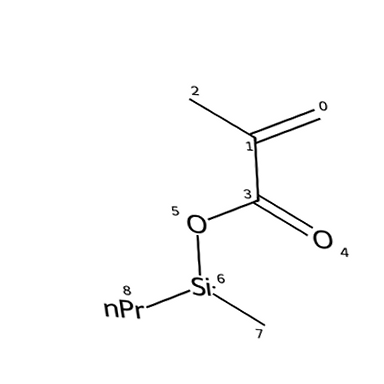 C=C(C)C(=O)O[Si](C)CCC